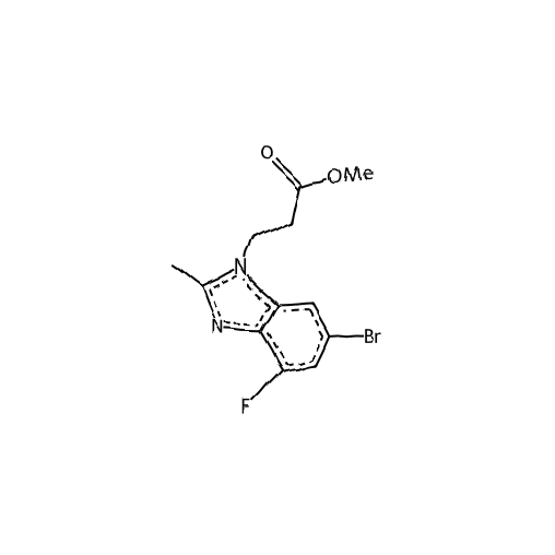 COC(=O)CCn1c(C)nc2c(F)cc(Br)cc21